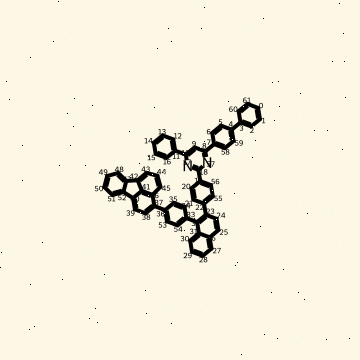 c1ccc(-c2ccc(-c3cc(-c4ccccc4)nc(-c4ccc(-c5ccc6ccccc6c5-c5ccc(-c6ccc7c8c(cccc68)-c6ccccc6-7)cc5)cc4)n3)cc2)cc1